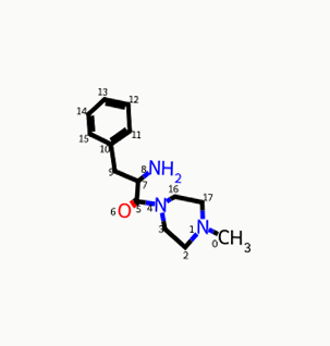 CN1CCN(C(=O)C(N)Cc2ccccc2)CC1